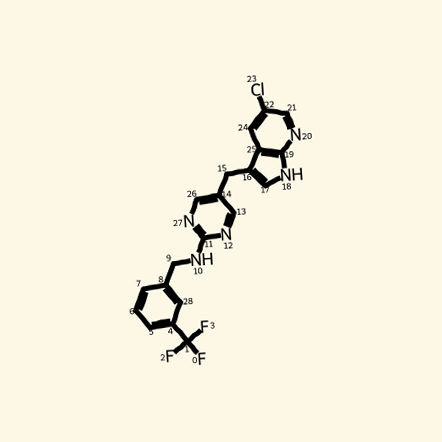 FC(F)(F)c1cccc(CNc2ncc(Cc3c[nH]c4ncc(Cl)cc34)cn2)c1